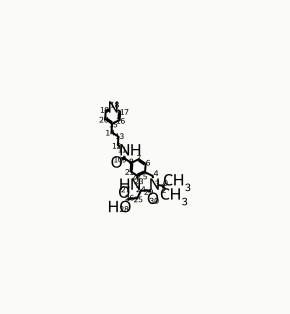 CC(C)N1Cc2ccc(C(=O)NCCCc3ccncc3)cc2NC(CC(=O)O)C1=O